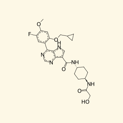 COc1cc(OCC2CC2)c(-c2ncnc3c(C(=O)N[C@H]4CC[C@H](NC(=O)CO)CC4)c[nH]c23)cc1F